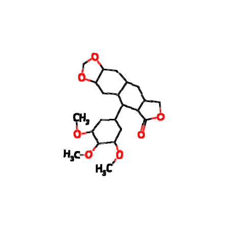 COC1CC(C2C3CC4OCOC4CC3CC3COC(=O)C32)CC(OC)C1OC